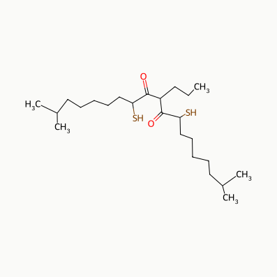 CCCC(C(=O)C(S)CCCCCC(C)C)C(=O)C(S)CCCCCC(C)C